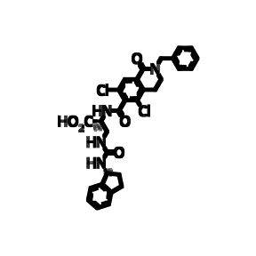 O=C(NC[C@H](NC(=O)c1c(Cl)cc2c(c1Cl)CCN(Cc1ccccc1)C2=O)C(=O)O)N[C@@H]1CCc2ccccc21